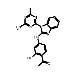 CC(=O)c1ccc(Nc2nc3ccccc3n2-c2nc(C)nc(N)n2)cc1O